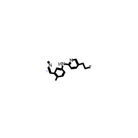 C=N/C=C\c1cc(Nc2ccc(CCF)cn2)ccc1C